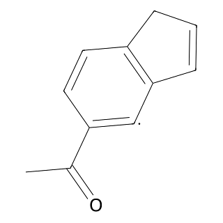 CC(=O)c1[c]c2c(cc1)CC=C2